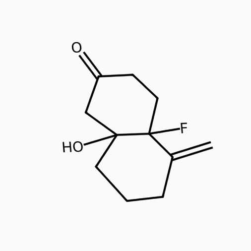 C=C1CCCC2(O)CC(=O)CCC12F